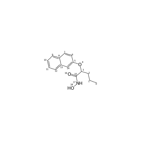 CCCC(Oc1ccc2ccccc2c1)C(=O)NO